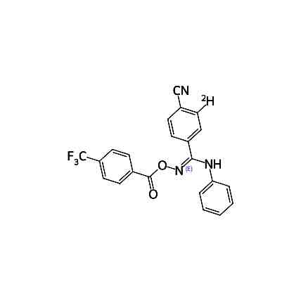 [2H]c1cc(/C(=N\OC(=O)c2ccc(C(F)(F)F)cc2)Nc2ccccc2)ccc1C#N